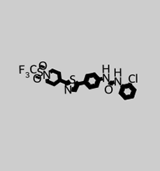 O=C(Nc1ccc(-c2cnc(C3CCN(S(=O)(=O)C(F)(F)F)CC3)s2)cc1)Nc1ccccc1Cl